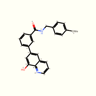 COc1ccc(CNC(=O)c2cccc(-c3cc(O)c4ncccc4c3)c2)cc1